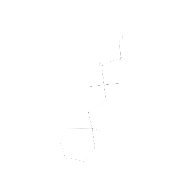 CN(C(=O)O)C(C)(C)CCC1(O)CCNCC1